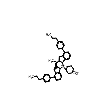 CCCc1ccc(-c2cccc3c2C=C(CC)[CH]3[Zr+2]2([CH]3C(CC)=Cc4c(-c5ccc(CCC)cc5)cccc43)[CH]3CCCC[CH]32)cc1.[Cl-].[Cl-]